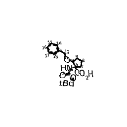 CC(C)(C)OC(=O)NC1(C(=O)O)CCCC1OCc1ccccc1